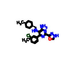 CC1(Cl)C=C(c2nc(C3=NNCO3)nc(N)c2NC[C@H]2CC[C@H](C)CC2)C=CC1